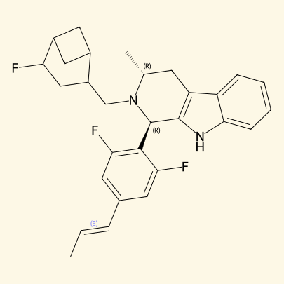 C/C=C/c1cc(F)c([C@@H]2c3[nH]c4ccccc4c3C[C@@H](C)N2CC2CC(F)C3CC2C3)c(F)c1